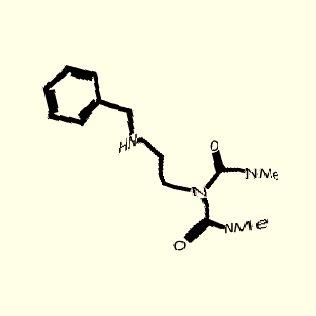 CNC(=O)N(CCNCc1ccccc1)C(=O)NC